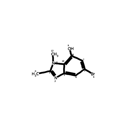 Cc1nc2cc(Br)cc(O)c2n1C